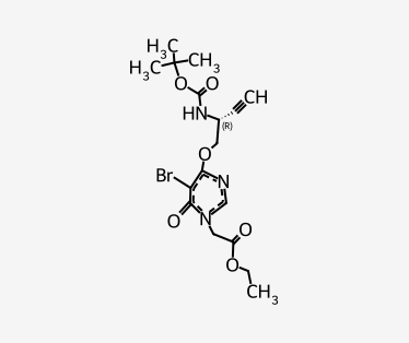 C#C[C@H](COc1ncn(CC(=O)OCC)c(=O)c1Br)NC(=O)OC(C)(C)C